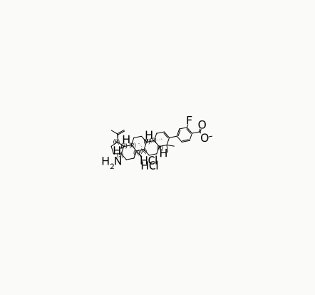 C=C(C)[C@@H]1CC[C@]2(N)CC[C@]3(C)[C@H](CC[C@@H]4[C@@]5(C)CC=C(c6ccc(C(=O)OC)c(F)c6)C(C)(C)[C@@H]5CC[C@]43C)[C@@H]12.Cl.Cl